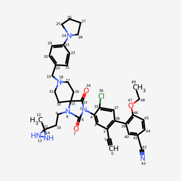 C#Cc1cc(N2C(=O)N(CCC3(C)NN3)C3(CCN(Cc4ccc(N5CCCC5)cc4)CC3)C2=O)c(Cl)cc1-c1cc(C#N)ccc1OCC